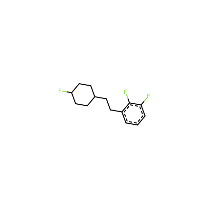 Fc1cccc(CCC2CCC(F)CC2)c1F